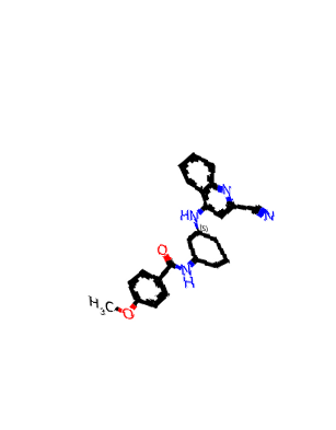 COc1ccc(C(=O)NC2CCC[C@H](Nc3cc(C#N)nc4ccccc34)C2)cc1